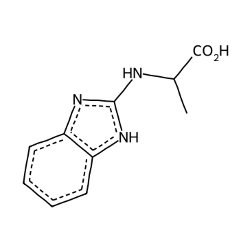 CC(Nc1nc2ccccc2[nH]1)C(=O)O